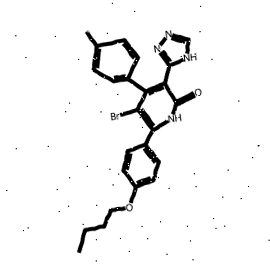 CCCCOc1ccc(-c2[nH]c(=O)c(-c3nnc[nH]3)c(-c3ccc(C)cc3)c2Br)cc1